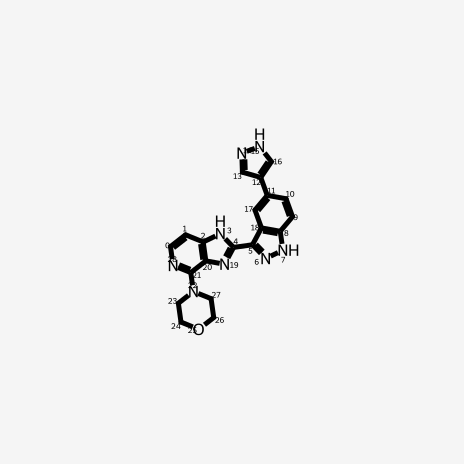 c1cc2[nH]c(-c3n[nH]c4ccc(-c5cn[nH]c5)cc34)nc2c(N2CCOCC2)n1